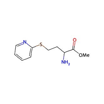 COC(=O)C(N)CCSc1ccccn1